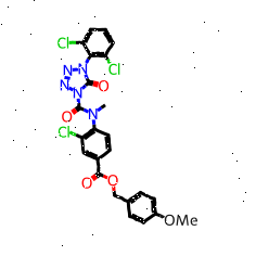 COc1ccc(COC(=O)c2ccc(N(C)C(=O)n3nnn(-c4c(Cl)cccc4Cl)c3=O)c(Cl)c2)cc1